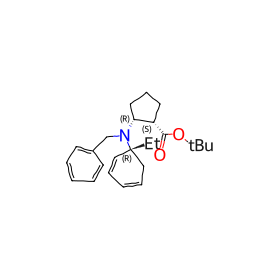 CC[C@]1(N(Cc2ccccc2)[C@@H]2CCC[C@@H]2C(=O)OC(C)(C)C)C=CC=CC1